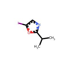 CC(C)c1ncc(I)o1